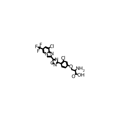 NC(COc1ccc(-c2noc(-c3cn4cc(C(F)(F)F)cc(Cl)c4n3)n2)c(Cl)c1)C(=O)O